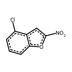 O=[N+]([O-])c1cc2c(Cl)cccc2o1